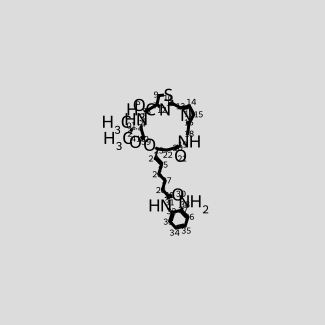 CC(C)[C@@H]1NC(=O)[C@]2(C)CSC(=N2)C2=CCC(=N2)CNC(=O)C[C@@H](/C=C/CCCC(=O)Nc2ccccc2N)OC1=O